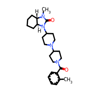 Cc1ccccc1C(=O)N1CCC(N2CCC(N3C(=O)N(C)[C@H]4CCCC[C@@H]43)CC2)CC1